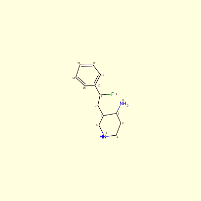 NC1CCNCC1CC(F)c1ccccc1